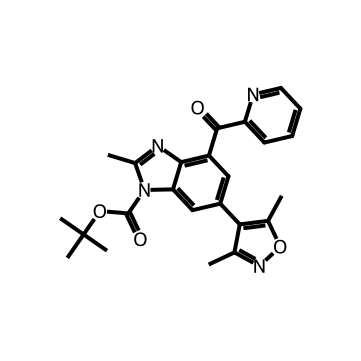 Cc1noc(C)c1-c1cc(C(=O)c2ccccn2)c2nc(C)n(C(=O)OC(C)(C)C)c2c1